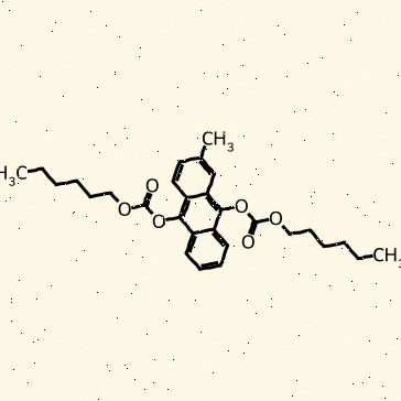 CCCCCCOC(=O)Oc1c2ccccc2c(OC(=O)OCCCCCC)c2cc(C)ccc12